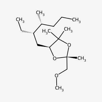 CCC[C@@H](C)[C@@H](CC)C[C@@H]1O[C@@](C)(COC)OC1(C)C